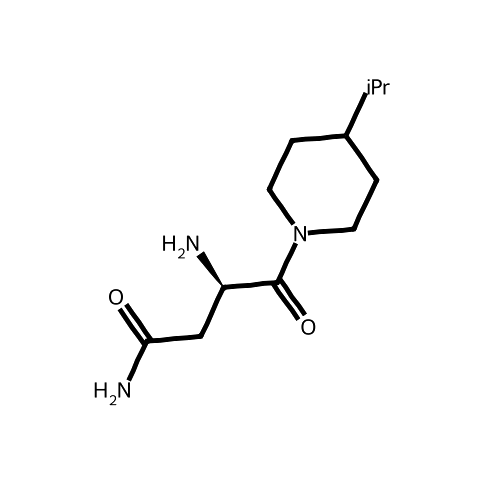 CC(C)C1CCN(C(=O)[C@H](N)CC(N)=O)CC1